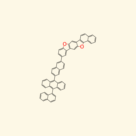 c1ccc2c(-c3c4ccccc4c(-c4ccc5cc(-c6ccc7oc8cc9c(cc8c7c6)oc6c7ccccc7ccc96)ccc5c4)c4ccccc34)cccc2c1